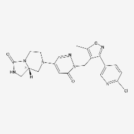 Cc1onc(-c2ccc(Cl)nc2)c1Cn1ncc(N2CCN3C(=O)NC[C@H]3C2)cc1=O